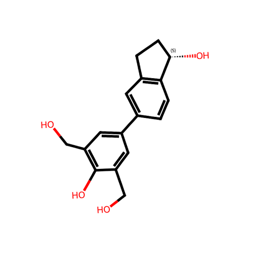 OCc1cc(-c2ccc3c(c2)CC[C@@H]3O)cc(CO)c1O